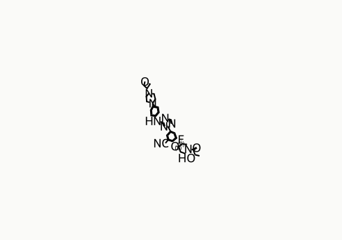 CC(O)C(=O)N1CC[C@H](Oc2ccc(-c3ncnc(Nc4ccc(N5CCN(C6COC6)CC5)cc4)n3)cc2C#N)[C@H](F)C1